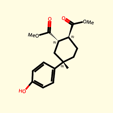 COC(=O)[C@H]1CC[C@](C)(c2ccc(O)cc2)C[C@@H]1C(=O)OC